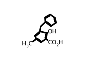 Cc1cc(Cc2ccccc2)c(O)c(C(=O)O)c1